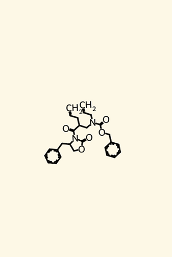 C=CCC(CN(CC=C)C(=O)OCc1ccccc1)C(=O)N1C(=O)OCC1Cc1ccccc1